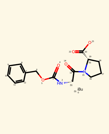 CC[C@H](C)[C@H](NC(=O)OCc1ccccc1)C(=O)N1CCC[C@H]1C([O])=O